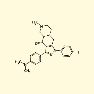 CN1CCC2Cc3c(c(-c4ccc(N(C)C)cc4)nn3-c3ccc(I)cc3)C(=O)C2C1